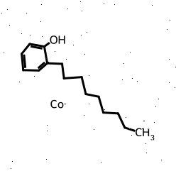 CCCCCCCCCc1ccccc1O.[Co]